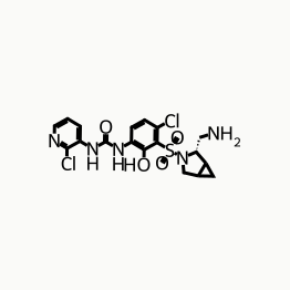 NC[C@@H]1C2CC2CN1S(=O)(=O)c1c(Cl)ccc(NC(=O)Nc2cccnc2Cl)c1O